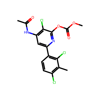 COC(=O)Oc1nc(-c2ccc(Cl)c(C)c2Cl)cc(NC(C)=O)c1Cl